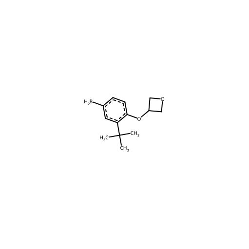 Bc1ccc(OC2COC2)c(C(C)(C)C)c1